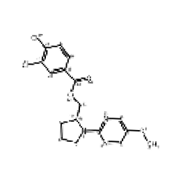 COc1cnc(N2CCC[C@H]2COC(=O)c2ccc(Cl)c(Cl)c2)nc1